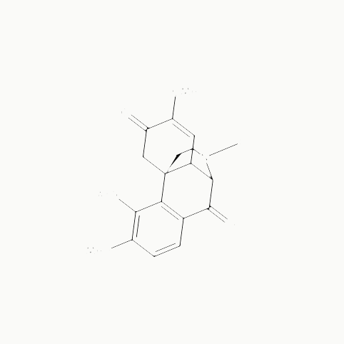 COC1=CC2[C@@H]3C(=O)c4ccc(OC)c(OC(C)=O)c4[C@]2(CCN3C)CC1=O